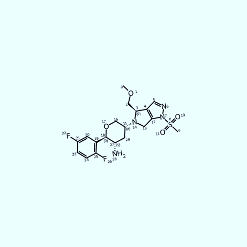 COC[C@H]1c2cnn(S(C)(=O)=O)c2CN1[C@H]1CO[C@H](c2cc(F)ccc2F)[C@@H](N)C1